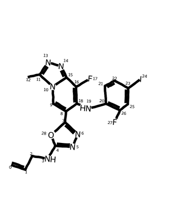 C=CCNc1nnc(-c2cn3c(C)nnc3c(F)c2Nc2ccc(I)cc2F)o1